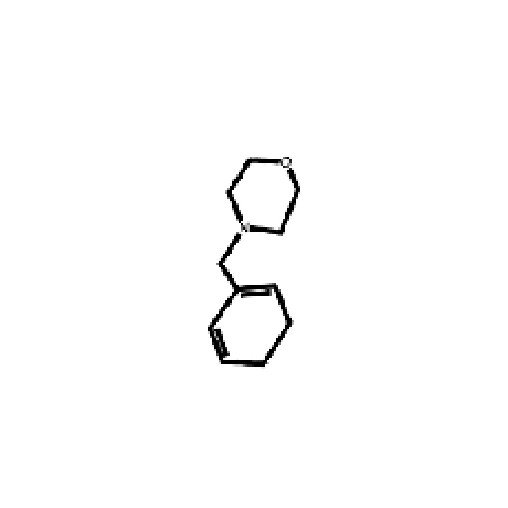 [CH]1C=CC(CN2CCOCC2)=CC1